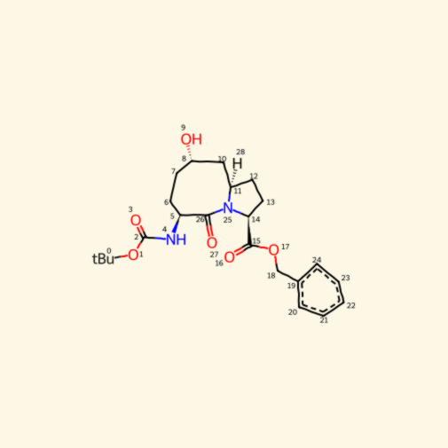 CC(C)(C)OC(=O)N[C@H]1CC[C@H](O)C[C@H]2CC[C@@H](C(=O)OCc3ccccc3)N2C1=O